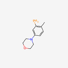 Cc1ccc(N2CCOCC2)cc1P